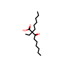 CCCCCCC(=O)C(CC)(CCCCCC)C(=O)O